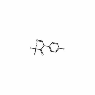 O=CC(C(=O)C(F)(F)F)c1ccc(F)cc1